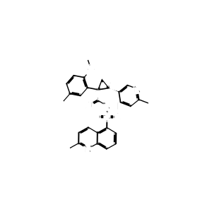 COc1ccc(C)cc1[C@@]1(C(=O)NS(=O)(=O)c2cccc3nc(C)ccc23)C[C@H]1c1ccc(C)nc1